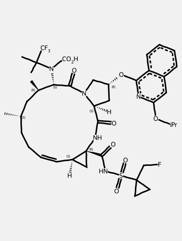 CC(C)Oc1cc2ccccc2c(O[C@@H]2C[C@H]3C(=O)N[C@]4(C(=O)NS(=O)(=O)C5(CF)CC5)C[C@H]4C=CCC[C@H](C)C[C@@H](C)[C@H](N(C(=O)O)C(C)(C)C(F)(F)F)C(=O)N3C2)n1